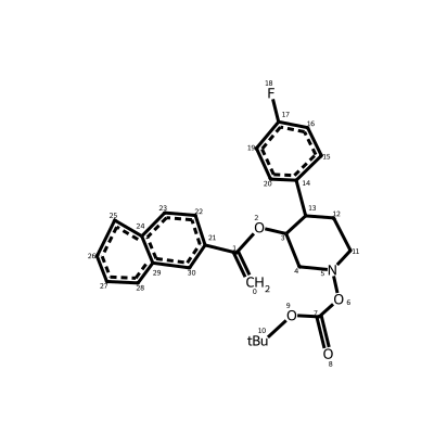 C=C(OC1CN(OC(=O)OC(C)(C)C)CCC1c1ccc(F)cc1)c1ccc2ccccc2c1